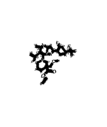 CCOC(=O)C1(COC)CCCN(c2c(C(C)C)c(C)nc3cc(-c4ccc(C(F)(F)F)cc4F)nn23)C1